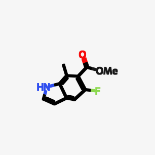 COC(=O)c1c(F)cc2cc[nH]c2c1C